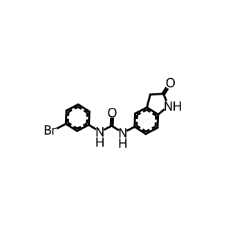 O=C1Cc2cc(NC(=O)Nc3cccc(Br)c3)ccc2N1